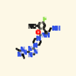 Cc1nc(C)n(-c2ncnc(N3CCN(C(=O)N[C@@H](CC=N)c4cc(F)cc(C#N)c4)CC3)n2)n1